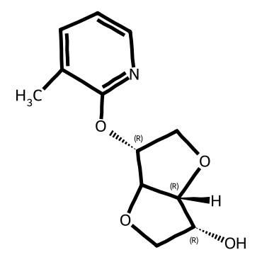 Cc1cccnc1O[C@@H]1CO[C@H]2C1OC[C@H]2O